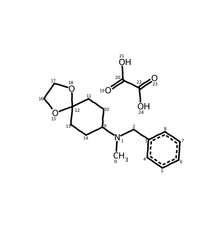 CN(Cc1ccccc1)C1CCC2(CC1)OCCO2.O=C(O)C(=O)O